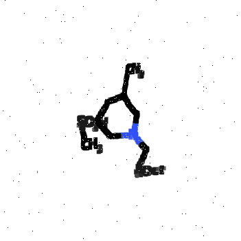 CCCCCCCCCN1CCCC(C)C1.CS(=O)(=O)O